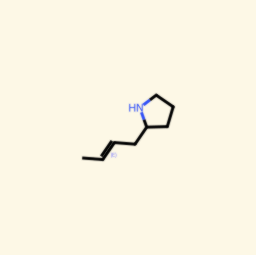 C/C=C/CC1CCCN1